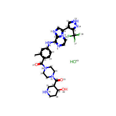 Cc1cc(Nc2nccn3c(-c4c[nH]nc4C(F)(F)F)cnc23)ccc1C(=O)N1CCN(C(=O)C2CNCCC2O)CC1.Cl